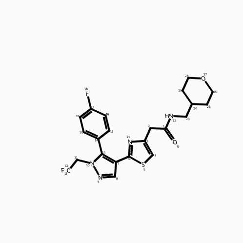 O=C(Cc1csc(-c2cnn(CC(F)(F)F)c2-c2ccc(F)cc2)n1)NCC1CCOCC1